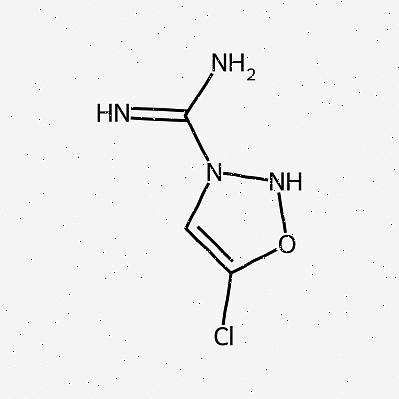 N=C(N)N1C=C(Cl)ON1